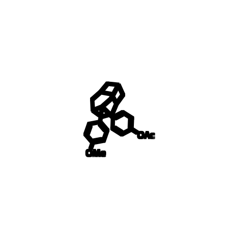 COc1ccc(C2(c3ccc(OC(C)=O)cc3)CC3CC4CCC2CC(C4)C3)cc1